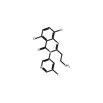 NCCc1nc2c(Cl)ccc(Cl)c2c(=O)n1-c1cncc(F)c1